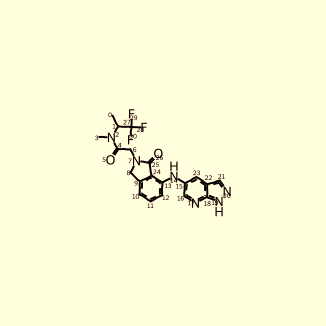 CC(N(C)C(=O)CN1Cc2cccc(Nc3cnc4[nH]ncc4c3)c2C1=O)C(F)(F)F